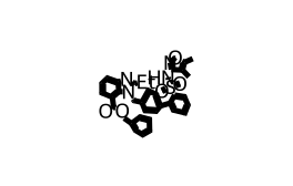 CCc1nc2cccc(C(=O)OCc3ccccc3)c2n1Cc1ccc(-c2ccccc2S(=O)(=O)Nc2noc(C)c2C)cc1